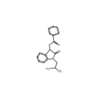 CC(C)CN1C(=O)C(OC(=O)c2ccccc2)c2ccccc21